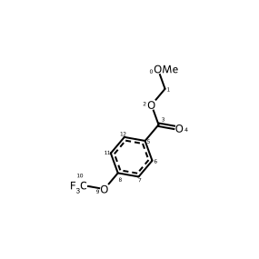 COCOC(=O)c1ccc(OC(F)(F)F)cc1